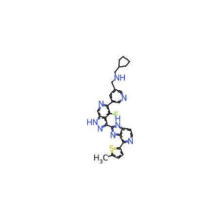 Cc1ccc(-c2nccc3[nH]c(-c4n[nH]c5cnc(-c6cncc(CNCC7CCCC7)c6)c(F)c45)nc23)s1